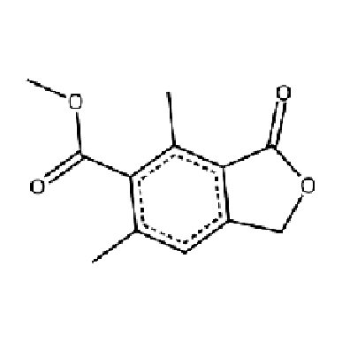 COC(=O)c1c(C)cc2c(c1C)C(=O)OC2